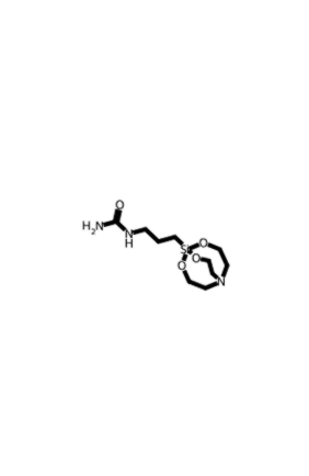 NC(=O)NCCC[Si]12OCCN(CCO1)CCO2